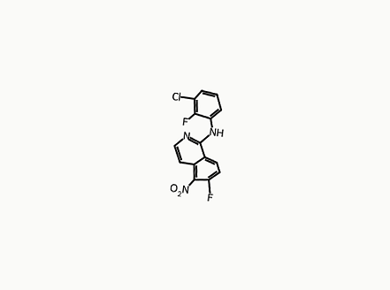 O=[N+]([O-])c1c(F)ccc2c(Nc3cccc(Cl)c3F)nccc12